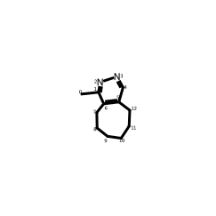 Cc1nncc2c1CCCCCC2